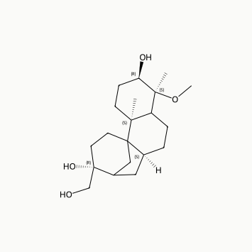 CO[C@@]1(C)C2CC[C@H]3CC4CC3(CC[C@]4(O)CO)[C@@]2(C)CC[C@H]1O